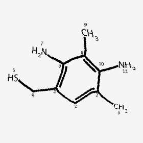 Cc1cc(CS)c(N)c(C)c1N